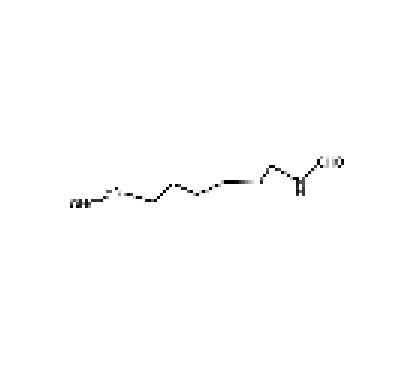 O=CNCCCCCCNC=O